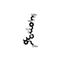 COCCCn1c(C2CCCN(C(=O)C[C@H](N)Cc3ccc(NC(=O)CC(=O)OC)cc3)C2)c(C)c2c(I)cccc21